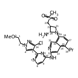 COCCn1cc(-c2nccc(Nc3cc4c(C(C)C)ccc(N5C[C@H](CS(C)(=O)=O)[C@H]5N)c4cn3)n2)c(Cl)n1